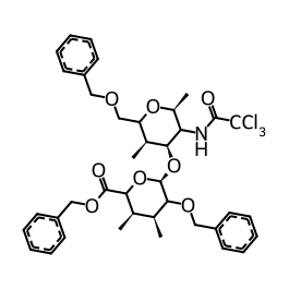 C[C@@H]1OC(COCc2ccccc2)[C@H](C)[C@H](O[C@@H]2OC(C(=O)OCc3ccccc3)[C@H](C)[C@H](C)C2OCc2ccccc2)C1NC(=O)C(Cl)(Cl)Cl